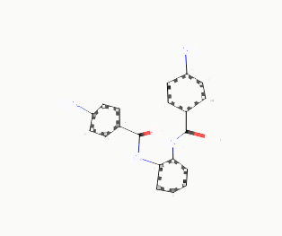 Nc1ccc(C(=O)Nc2ccccc2NC(=O)c2ccc(N)cc2)cc1